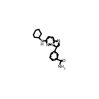 NC(=O)c1cccc(-c2cnc3ccc(NC4CCCCC4)nn23)c1